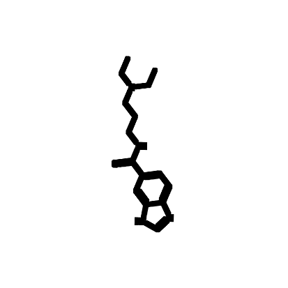 CCN(CC)CCCNC(=O)c1ccc2nc[nH]c2c1